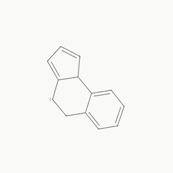 [C]1Cc2ccccc2C2C=CC=C12